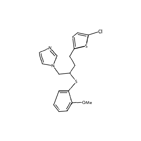 COc1ccccc1SC(CCc1ccc(Cl)s1)Cn1ccnc1